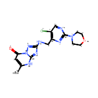 CCCCc1cc(=O)n2nc(NCc3nc(N4CCOCC4)ncc3Cl)nc2[nH]1